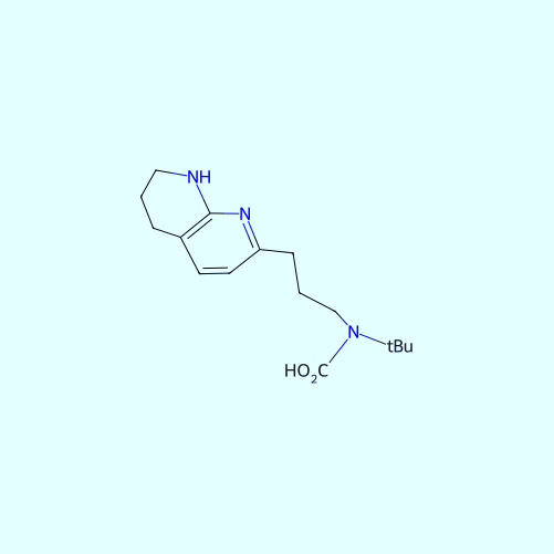 CC(C)(C)N(CCCc1ccc2c(n1)NCCC2)C(=O)O